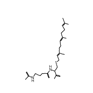 C=C(C)NCCCC(=C)NC(CSC/C=C(\C)CC/C=C(\C)CCC=C(C)C)C(=C)C